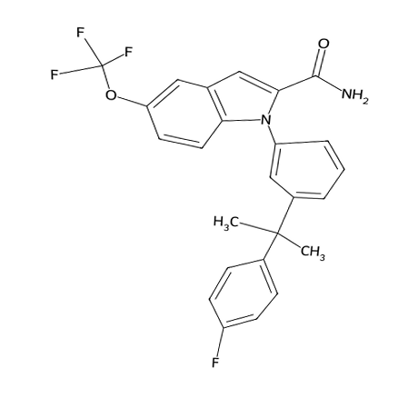 CC(C)(c1ccc(F)cc1)c1cccc(-n2c(C(N)=O)cc3cc(OC(F)(F)F)ccc32)c1